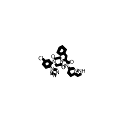 O=C(NC1=CN2NCC=C2C=C1)C(Cc1ccccc1)N1CC(=O)N(c2cc(Cl)ccc2-n2cnnn2)CC1=O